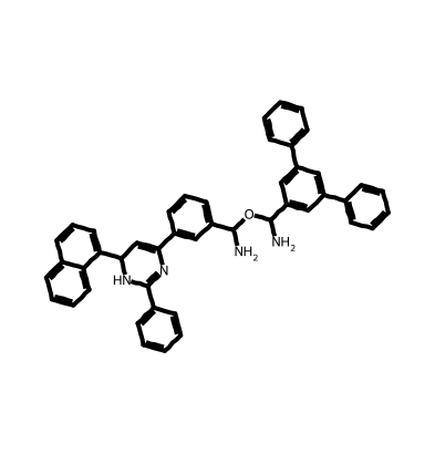 NC(OC(N)c1cc(-c2ccccc2)cc(-c2ccccc2)c1)c1cccc(C2=CC(c3cccc4ccccc34)NC(c3ccccc3)=N2)c1